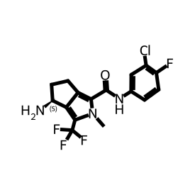 Cn1c(C(=O)Nc2ccc(F)c(Cl)c2)c2c(c1C(F)(F)F)[C@@H](N)CC2